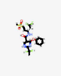 CC(F)(F)c1ncc(C(=O)N[C@H](/C=C/S(C)(=O)=O)CC(F)F)c(Oc2ccccc2)n1